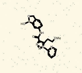 COCCc1c(C(=O)Nc2ccc3c(c2)B(O)OC3)nnn1-c1ccccn1